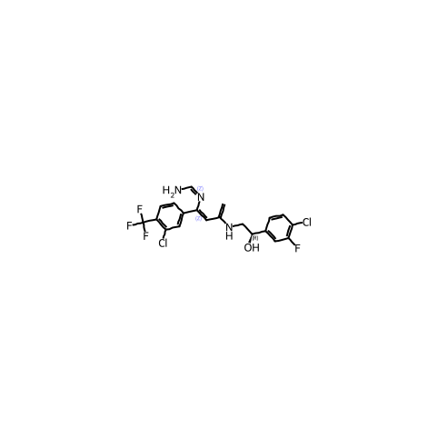 C=C(/C=C(\N=C/N)c1ccc(C(F)(F)F)c(Cl)c1)NC[C@H](O)c1ccc(Cl)c(F)c1